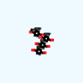 O=C([O-])c1cc(O)ccc1O.O=C([O-])c1cc(O)ccc1O.O=C([O-])c1cc(O)ccc1O.O=C([O-])c1cc(O)ccc1O.[Zr+4]